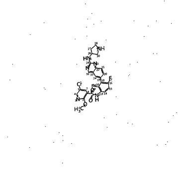 COc1ncc(Cl)cc1S(=O)(=O)Nc1ccc(F)c(-c2ccc3nc(NC4CCNC4)ncc3c2)c1F